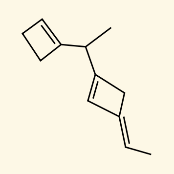 C/C=C1/C=C(C(C)C2=CCC2)C1